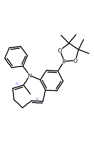 C/C1=C\CC/C=C/c2ccc(B3OC(C)(C)C(C)(C)O3)cc2N1c1ccccc1